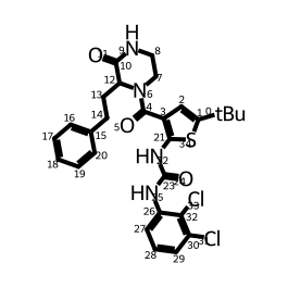 CC(C)(C)c1cc(C(=O)N2CCNC(=O)C2CCc2ccccc2)c(NC(=O)Nc2cccc(Cl)c2Cl)s1